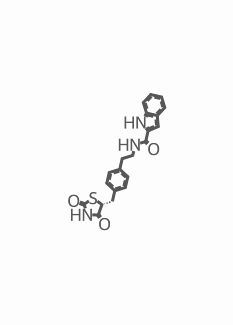 O=C1NC(=O)[C@@H](Cc2ccc(CCNC(=O)c3cc4ccccc4[nH]3)cc2)S1